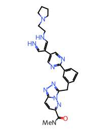 CNC(=O)c1ccc2nnc(Cc3cccc(-c4ncc(/C(C=N)=C/NCCN5CCCC5)cn4)c3)n2n1